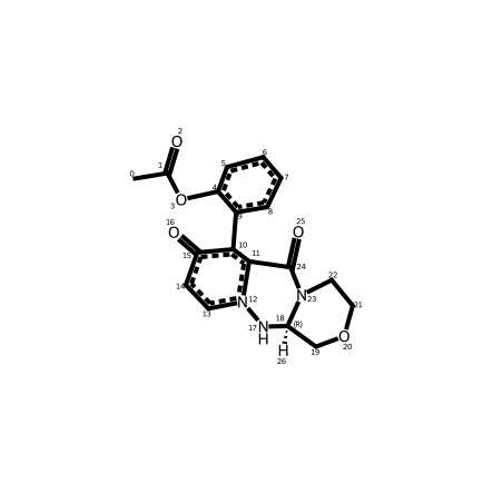 CC(=O)Oc1ccccc1-c1c2n(ccc1=O)N[C@@H]1COCCN1C2=O